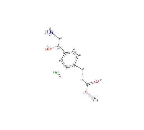 COC(=O)CCc1ccc(C(O)CN)cc1.Cl